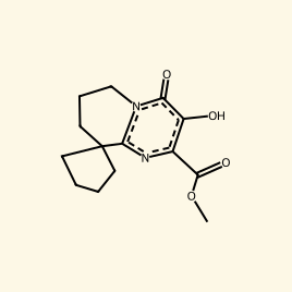 COC(=O)c1nc2n(c(=O)c1O)CCCC21CCCC1